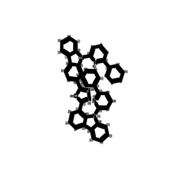 c1ccc(-c2cccc(-n3c4ccccc4c4ccc(-c5nnc(-c6cccc7c8ccccc8n(-c8cccc(-c9ccccc9)n8)c67)o5)cc43)n2)cc1